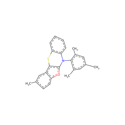 Cc1cc(C)c(N2c3ccccc3Sc3c2oc2ccc(C)cc32)c(C)c1